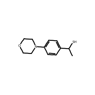 CC(S)c1ccc(N2CCOCC2)cc1